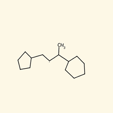 CC([CH]CC1CCCC1)C1CCCCC1